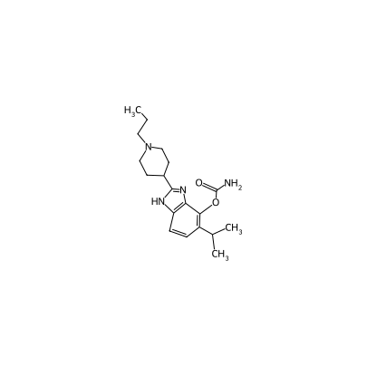 CCCN1CCC(c2nc3c(OC(N)=O)c(C(C)C)ccc3[nH]2)CC1